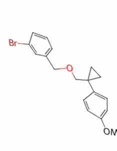 COc1ccc(C2(COCc3cccc(Br)c3)CC2)cc1